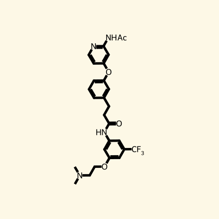 CC(=O)Nc1cc(Oc2cccc(CCC(=O)Nc3cc(OCCN(C)C)cc(C(F)(F)F)c3)c2)ccn1